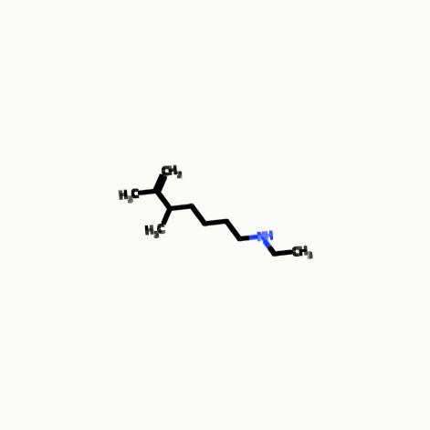 C=C(C)C(C)CCCCNCC